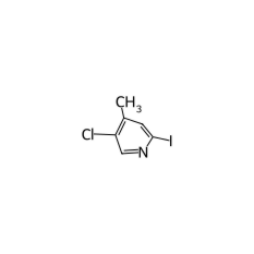 Cc1cc(I)ncc1Cl